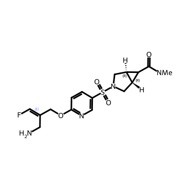 CNC(=O)C1[C@@H]2CN(S(=O)(=O)c3ccc(OC/C(=C/F)CN)nc3)C[C@@H]12